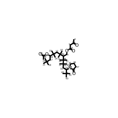 CC(=O)CC(=O)OCC(C(C)(C)CC(C)(C)C(CC(C)(C)C)OC(C)=O)C(C)(C)C(C)(C)CC(N1CCCC1=O)C(C)(C)C